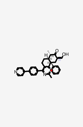 Cc1nc(-c2ccc(-c3ccncc3)cc2)c2c(n1)[C@@]1(c3ccccc3)C/C(=C/O)C(=O)[C@@H](C)[C@@H]1CC2